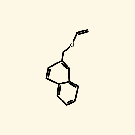 C=COCc1ccc2ccccc2c1